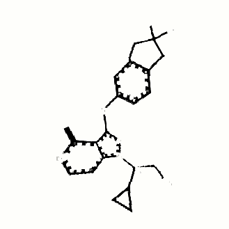 N#CC[C@@H](C1CC1)n1nc(Nc2ccc3c(c2)CC(O)(C(F)(F)F)C3)c2c(=O)[nH]ccc21